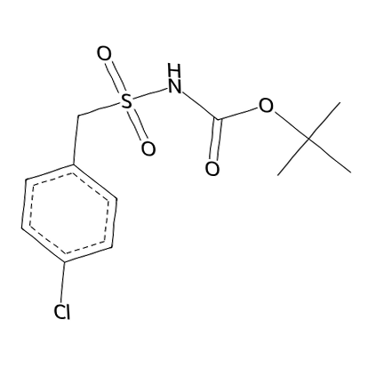 CC(C)(C)OC(=O)NS(=O)(=O)Cc1ccc(Cl)cc1